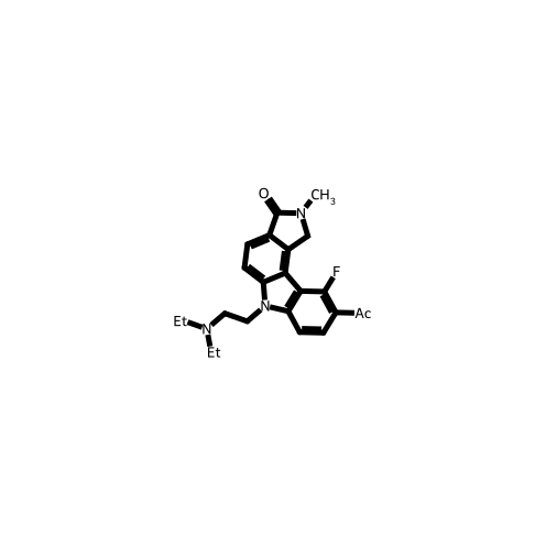 CCN(CC)CCn1c2ccc(C(C)=O)c(F)c2c2c3c(ccc21)C(=O)N(C)C3